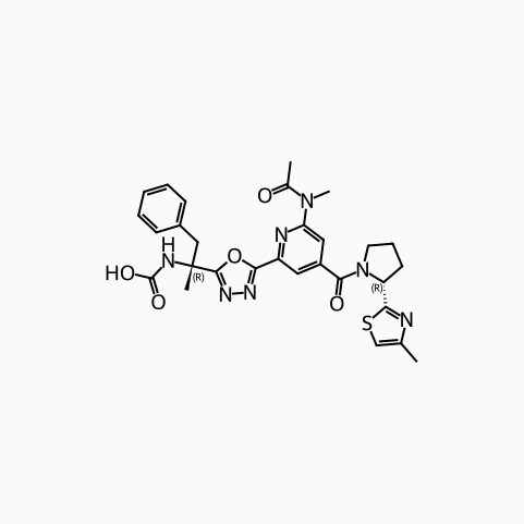 CC(=O)N(C)c1cc(C(=O)N2CCC[C@@H]2c2nc(C)cs2)cc(-c2nnc([C@@](C)(Cc3ccccc3)NC(=O)O)o2)n1